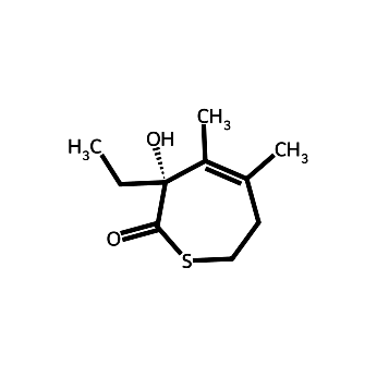 CC[C@]1(O)C(=O)SCCC(C)=C1C